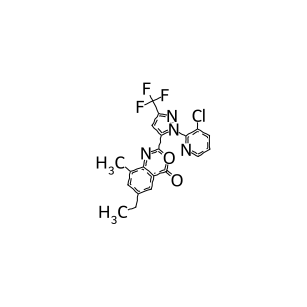 CCc1cc(C)c2nc(-c3cc(C(F)(F)F)nn3-c3ncccc3Cl)oc(=O)c2c1